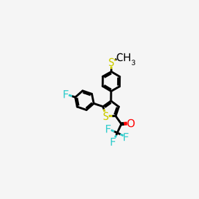 CSc1ccc(-c2cc(C(=O)C(F)(F)F)sc2-c2ccc(F)cc2)cc1